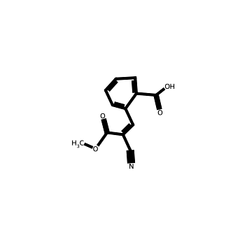 COC(=O)C(C#N)=Cc1ccccc1C(=O)O